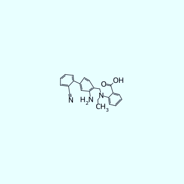 CCN(Cc1ccc(-c2ccccc2C#N)cc1N)c1ccccc1C(=O)O